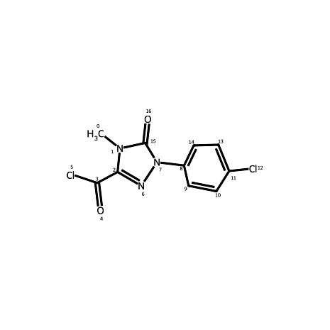 Cn1c(C(=O)Cl)nn(-c2ccc(Cl)cc2)c1=O